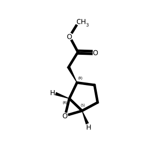 COC(=O)C[C@H]1CC[C@@H]2O[C@H]12